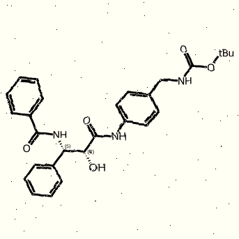 CC(C)(C)OC(=O)NCc1ccc(NC(=O)[C@H](O)[C@@H](NC(=O)c2ccccc2)c2ccccc2)cc1